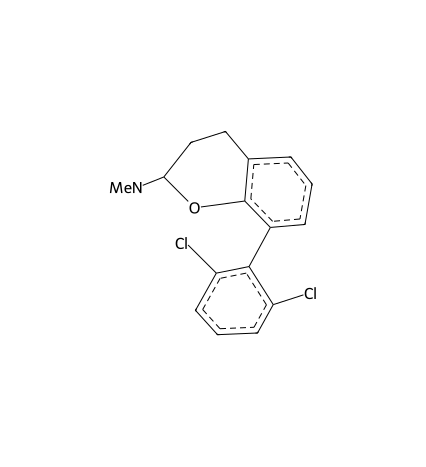 CNC1CCc2cccc(-c3c(Cl)cccc3Cl)c2O1